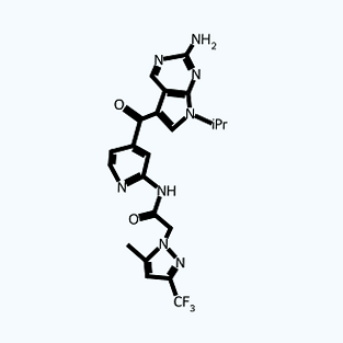 Cc1cc(C(F)(F)F)nn1CC(=O)Nc1cc(C(=O)c2cn(C(C)C)c3nc(N)ncc23)ccn1